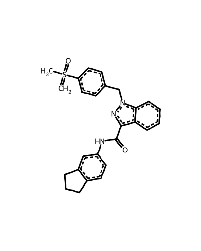 C=S(C)(=O)c1ccc(Cn2nc(C(=O)Nc3ccc4c(c3)CCC4)c3ccccc32)cc1